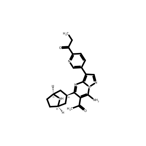 CCC(=O)c1ccc(-c2cnn3c(N)c(C(C)=O)c([C@H]4C[C@H]5CC[C@@H](C4)N5)nc23)cn1